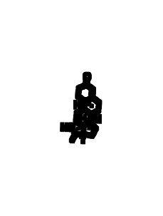 CC(O)[C@@]1(C)CC[C@H]2[C@@H]3CCC4=CC(=O)CC[C@]4(C)[C@H]3CC[C@@]21C